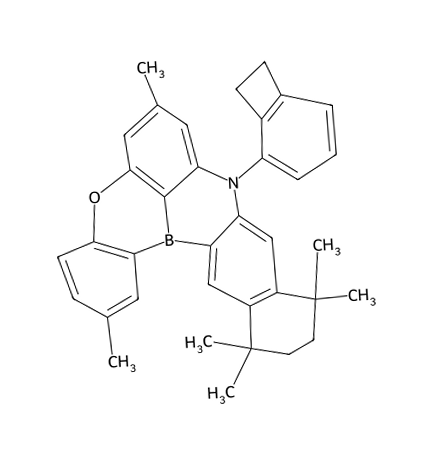 Cc1ccc2c(c1)B1c3cc4c(cc3N(c3cccc5c3CC5)c3cc(C)cc(c31)O2)C(C)(C)CCC4(C)C